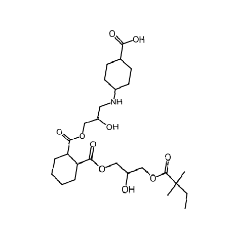 CCC(C)(C)C(=O)OCC(O)COC(=O)C1CCCCC1C(=O)OCC(O)CNC1CCC(C(=O)O)CC1